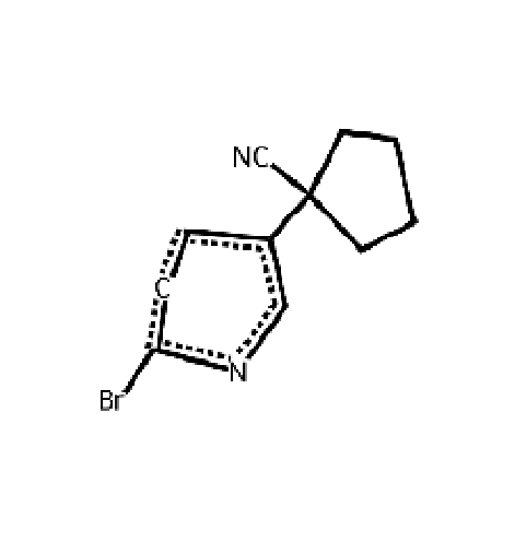 N#CC1(c2ccc(Br)nc2)CCCC1